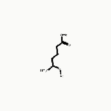 COC(=O)CCCC(SC(C)=O)C(=O)O